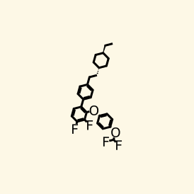 CC[C@H]1CC[C@H](CCc2ccc(-c3ccc(F)c(F)c3Oc3ccc(OC(F)F)cc3)cc2)CC1